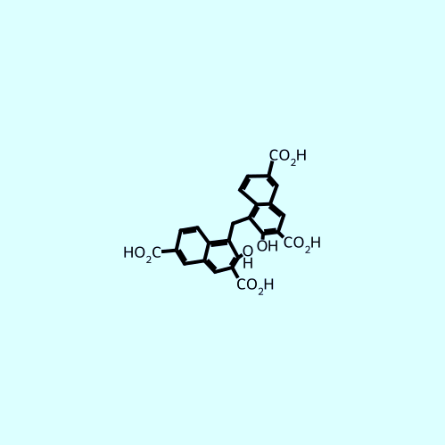 O=C(O)c1ccc2c(Cc3c(O)c(C(=O)O)cc4cc(C(=O)O)ccc34)c(O)c(C(=O)O)cc2c1